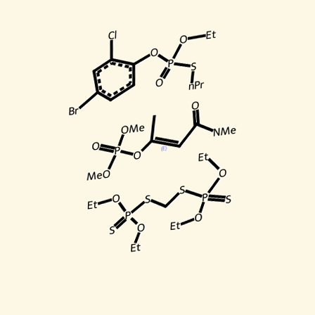 CCCSP(=O)(OCC)Oc1ccc(Br)cc1Cl.CCOP(=S)(OCC)SCSP(=S)(OCC)OCC.CNC(=O)/C=C(\C)OP(=O)(OC)OC